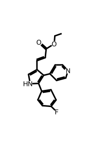 CCOC(=O)C=Cc1c[nH]c(-c2ccc(F)cc2)c1-c1ccncc1